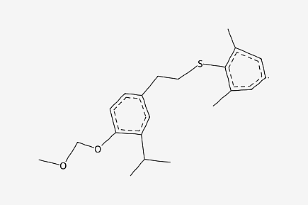 COCOc1ccc(CCSc2c(C)c[c]cc2C)cc1C(C)C